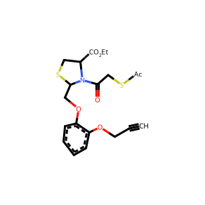 C#CCOc1ccccc1OCC1SCC(C(=O)OCC)N1C(=O)CSC(C)=O